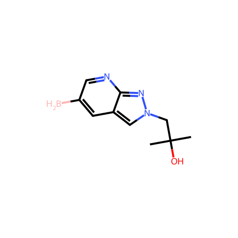 Bc1cnc2nn(CC(C)(C)O)cc2c1